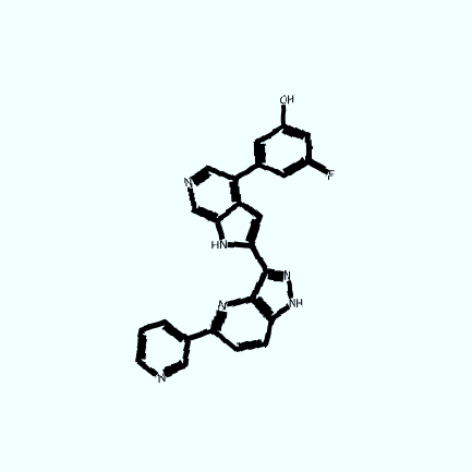 Oc1cc(F)cc(-c2cncc3[nH]c(-c4n[nH]c5ccc(-c6cccnc6)nc45)cc23)c1